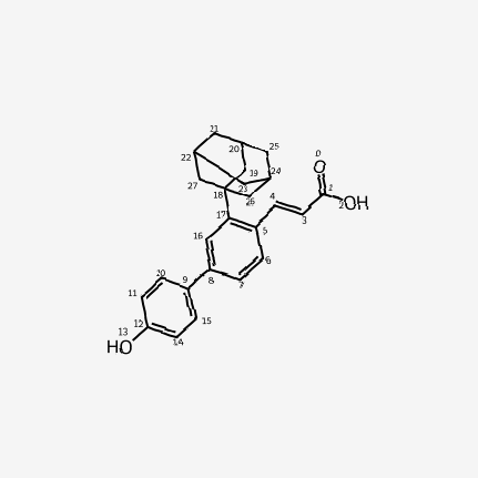 O=C(O)C=Cc1ccc(-c2ccc(O)cc2)cc1C12CC3CC(CC(C3)C1)C2